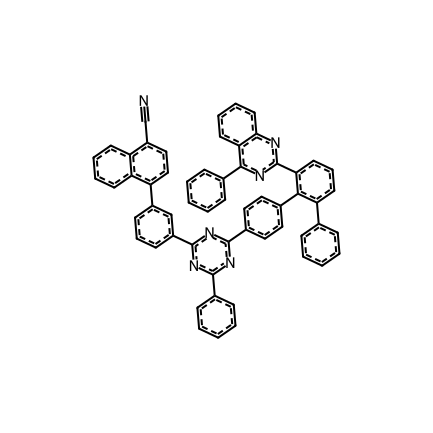 N#Cc1ccc(-c2cccc(-c3nc(-c4ccccc4)nc(-c4ccc(-c5c(-c6ccccc6)cccc5-c5nc(-c6ccccc6)c6ccccc6n5)cc4)n3)c2)c2ccccc12